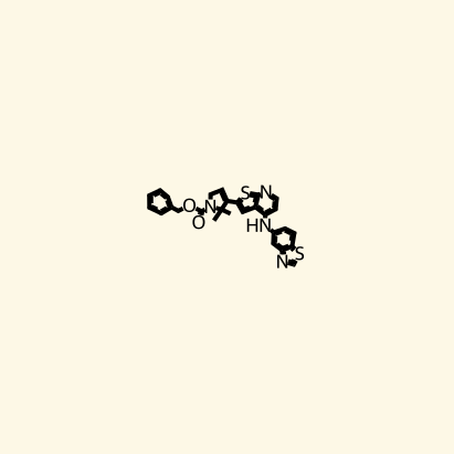 CC1(C)C(c2cc3c(Nc4ccc5scnc5c4)ccnc3s2)=CCN1C(=O)OCc1ccccc1